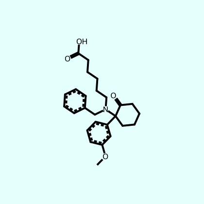 COc1cccc(C2(N(CCCCCC(=O)O)Cc3ccccc3)CCCCC2=O)c1